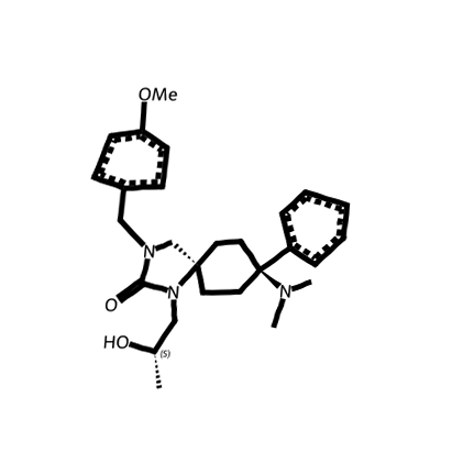 COc1ccc(CN2C[C@]3(CC[C@](c4ccccc4)(N(C)C)CC3)N(C[C@H](C)O)C2=O)cc1